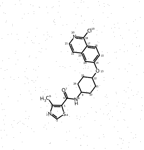 Cc1ncsc1C(=O)NC1CCC(Oc2ccc3c(Cl)nccc3c2)CC1